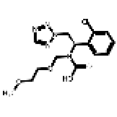 COCCOCN(C(=O)O)[C@@H](Cn1ncnn1)c1ccccc1Cl